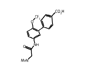 CNCC(=O)Nc1ccc(OC(F)(F)F)c(-c2ccc(C(=O)O)cc2)c1